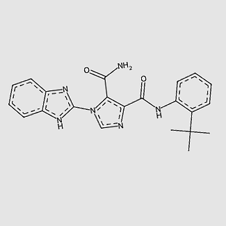 CC(C)(C)c1ccccc1NC(=O)c1ncn(-c2nc3ccccc3[nH]2)c1C(N)=O